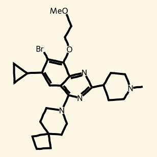 COCCOc1c(Br)c(C2CC2)cc2c(N3CCC4(CCC4)CC3)nc(C3CCN(C)CC3)nc12